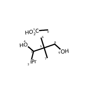 CC(=O)O.CC(C)C(O)C(C)(C)CO